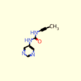 CC#CNC(=O)Nc1cncnc1